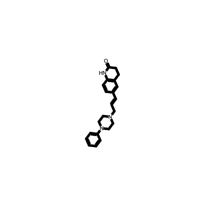 O=C1CCc2cc(C=CCN3CCN(c4ccccc4)CC3)ccc2N1